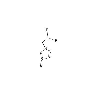 FC(F)Cn1cc(Br)[c]n1